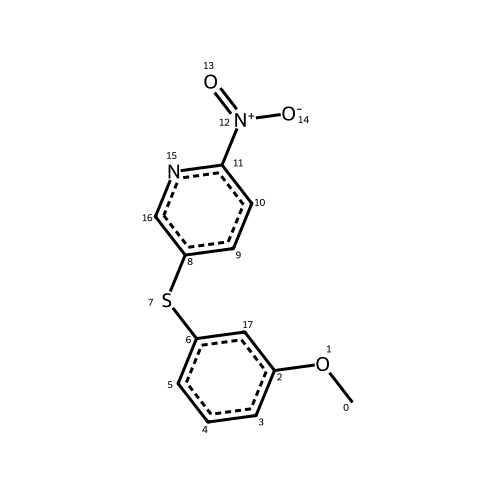 COc1cccc(Sc2ccc([N+](=O)[O-])nc2)c1